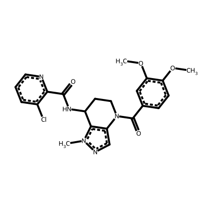 COc1ccc(C(=O)N2CCC(NC(=O)c3ncccc3Cl)c3c2cnn3C)cc1OC